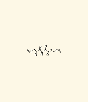 CCOC(=O)C(=O)NNC(=O)CC